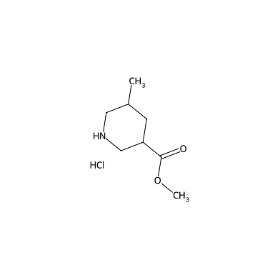 COC(=O)C1CNCC(C)C1.Cl